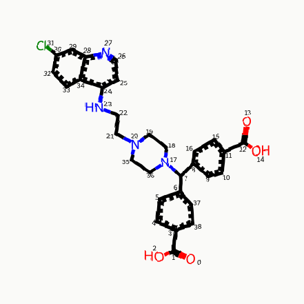 O=C(O)c1ccc(C(c2ccc(C(=O)O)cc2)N2CCN(CCNc3ccnc4cc(Cl)ccc34)CC2)cc1